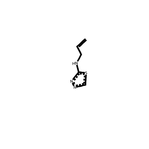 C=CCNc1nncs1